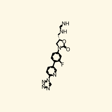 N=CNC[C@H]1CN(c2ccc(-c3ccc(-n4cnnn4)nc3)c(F)c2)C(=O)O1